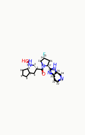 O=C([C@@H](CNO)CC1CCCC1)N1C[C@H](F)C[C@H]1c1nc2ccncc2[nH]1